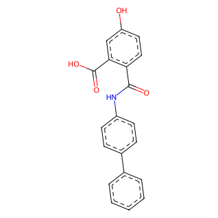 O=C(O)c1cc(O)ccc1C(=O)Nc1ccc(-c2ccccc2)cc1